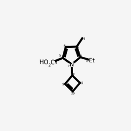 CCc1c(C)cc(C(=O)O)n1C1C=CC1